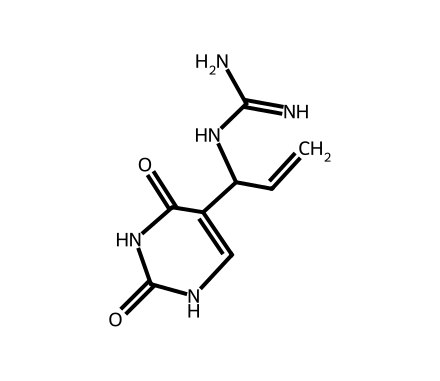 C=CC(NC(=N)N)c1c[nH]c(=O)[nH]c1=O